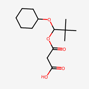 CC(C)(C)C(OC(=O)CC(=O)O)OC1CCCCC1